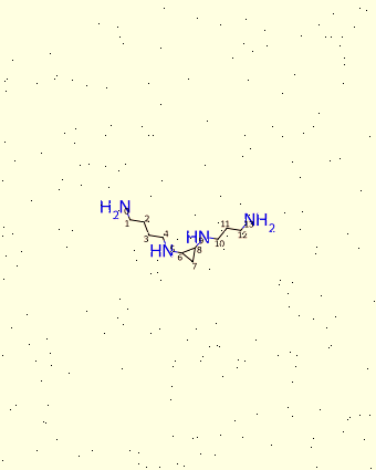 NCCCCNC1CC1NCCCN